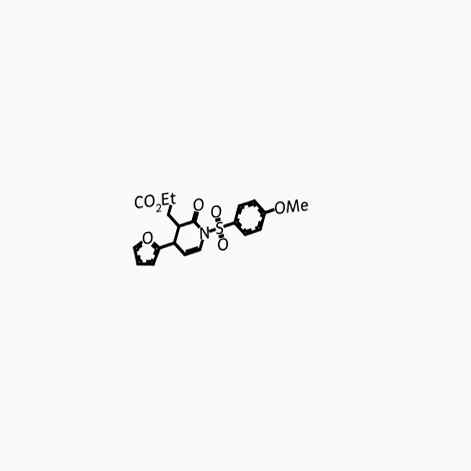 CCOC(=O)CC1C(=O)N(S(=O)(=O)c2ccc(OC)cc2)C=CC1c1ccco1